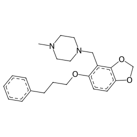 CN1CCN(Cc2c(OCCCc3ccccc3)ccc3c2OCO3)CC1